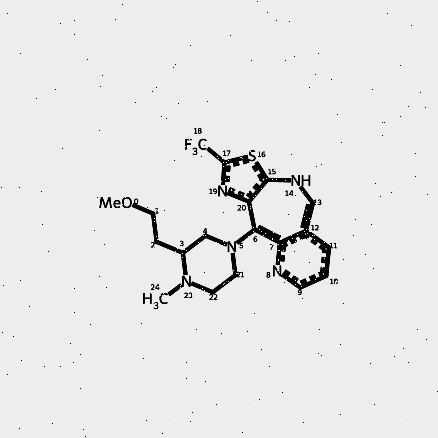 COCCC1CN(C2=c3ncccc3=CNc3sc(C(F)(F)F)nc32)CCN1C